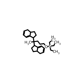 CC[Si](CC)(CC)OCCCC(C)(C1CCC2CC=CC=C21)C1CCC2CC=CC=C21